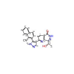 [C-]#[N+]c1c(-c2c(-c3ccc4c(=O)[nH]nc(C(C)O)c4n3)cnn2C)ccc2ccccc12